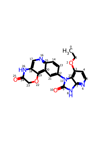 CCOc1ccnc2[nH]c(=O)n(-c3ccc4ncc5c(c4c3)OCC(=O)N5)c12